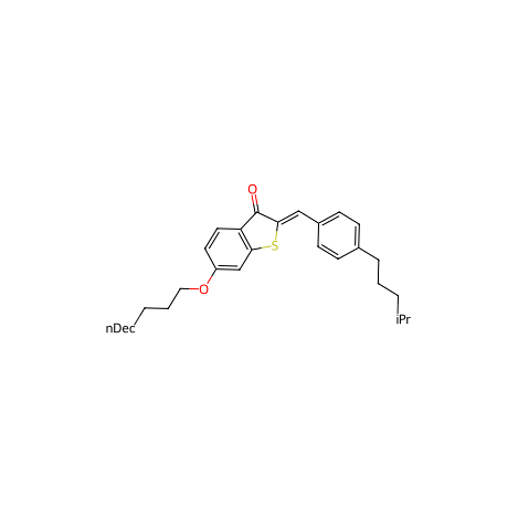 CCCCCCCCCCCCCOc1ccc2c(c1)SC(=Cc1ccc(CCCC(C)C)cc1)C2=O